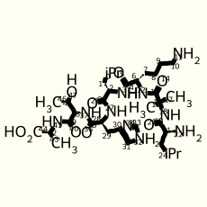 CC(C)C[C@H](NC(=O)[C@H](CCCCN)NC(=O)C(C)(C)NC(=O)[C@@H](N)CC(C)C)C(=O)N[C@@H](Cc1c[nH]cn1)C(=O)N[C@H](C(=O)N[C@@H](C)C(=O)O)[C@@H](C)O